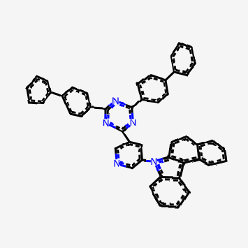 c1ccc(-c2ccc(-c3nc(-c4ccc(-c5ccccc5)cc4)nc(-c4cncc(-n5c6ccccc6c6c7ccccc7ccc65)c4)n3)cc2)cc1